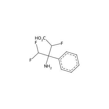 NC(c1ccccc1)(C(F)F)C(F)C(=O)O